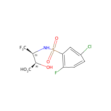 O=C(O)[C@H](O)[C@H](NS(=O)(=O)c1cc(Cl)ccc1F)C(F)(F)F